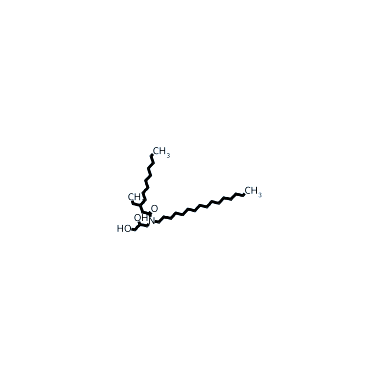 CCCCCCCCCCCCCCCCN(CC(O)CO)C(=O)CC(CC)CCCCCCCCC